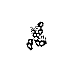 CB1c2c(cc3sccc3c2-c2cccc(-c3ccccc3C)c2C)N(c2ccc3ccccc3c2)c2ccc3ccccc3c21